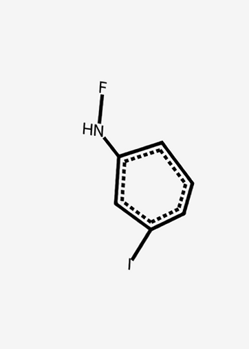 FNc1cccc(I)c1